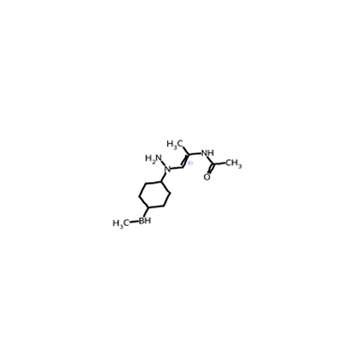 CBC1CCC(N(N)/C=C(\C)NC(C)=O)CC1